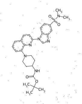 CN(C)S(=O)(=O)c1ccc2c(c1)ncn2-c1ccc2cccc(N3CCC(NC(=O)OC(C)(C)C)CC3)c2n1